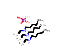 C=CNCCCCCCCCCCCCCC.C=CNCCCCCCCCCCCCCC.C=CNCCCCCCCCCCCCCC.O=P(O)(O)O